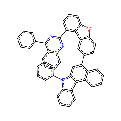 c1ccc(-c2nc(-c3cccc4oc5ccc(-c6cc7c(c8ccccc68)c6ccccc6n7-c6ccccc6)cc5c34)nc3ccccc23)cc1